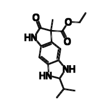 CCOC(=O)C1(C)C(=O)Nc2cc3c(cc21)NC(C(C)C)N3